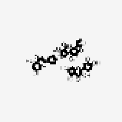 COc1cc2c(c3oc(=O)c4c(c13)CCC4=O)C1C=COC1O2.O=c1c(O)c(-c2ccc(O)c(O)c2)oc2cc(O)cc(O)c12.O=c1cc(-c2ccc(O)c(O)c2)oc2cc(O)cc(O)c12